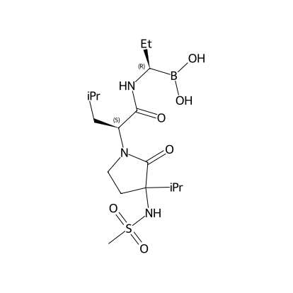 CC[C@H](NC(=O)[C@H](CC(C)C)N1CCC(NS(C)(=O)=O)(C(C)C)C1=O)B(O)O